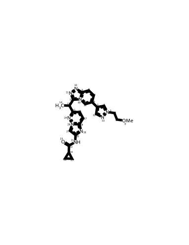 COCCn1cc(-c2ccc3nnc(C(C)c4ccc5nc(NC(=O)C6CC6)cn5n4)n3c2)cn1